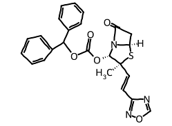 C[C@@]1(/C=C/c2ncon2)S[C@@H]2CC(=O)N2[C@H]1OC(=O)OC(c1ccccc1)c1ccccc1